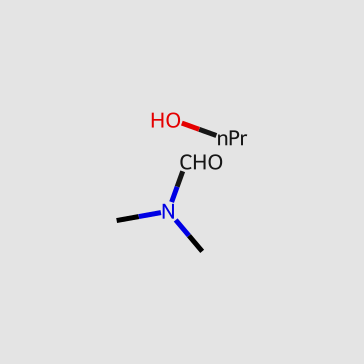 CN(C)C=O.[CH2]CCO